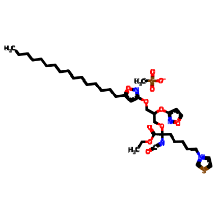 CCCCCCCCCCCCCCCCc1cc(OCC(COC(CCCCC[n+]2ccsc2)(N=C=O)C(=O)OCC)Oc2ccon2)no1.CS(=O)(=O)[O-]